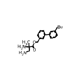 CCC(C)c1cccc(-c2cccc(COC(=O)C(C)(N)CN)c2)c1